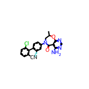 CC1CN(c2ccc(-c3c(Cl)cccc3C#N)c(F)c2)C(=O)c2c(N)ncnc2O1